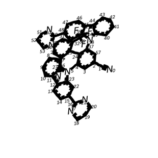 N#Cc1cc(-n2c3ccccc3c3ccc(-c4ncccn4)cc32)c(-c2c(C#N)cccc2C(F)(F)F)c(-n2c3ccccc3c3ccc(-c4ncccn4)cc32)c1